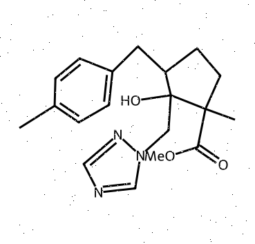 COC(=O)C1(C)CCC(Cc2ccc(C)cc2)C1(O)Cn1cncn1